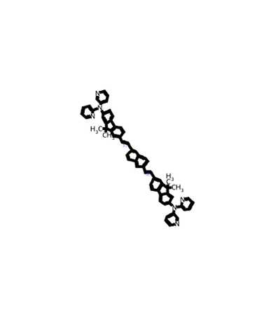 CC1(C)c2cc(/C=C/c3ccc4cc(/C=C/c5ccc6c(c5)C(C)(C)c5cc(N(c7cccnc7)c7ccccn7)ccc5-6)ccc4c3)ccc2-c2ccc(N(c3cccnc3)c3ccccn3)cc21